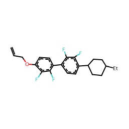 C=CCOc1ccc(-c2ccc(C3CCC(CC)CC3)c(F)c2F)c(F)c1F